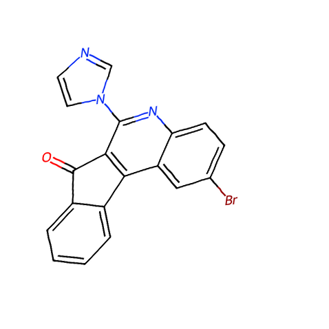 O=C1c2ccccc2-c2c1c(-n1ccnc1)nc1ccc(Br)cc21